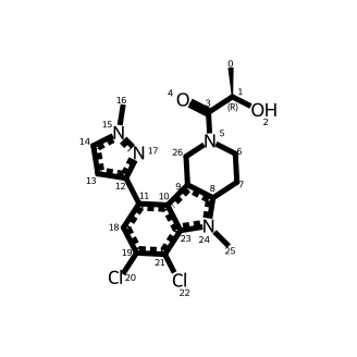 C[C@@H](O)C(=O)N1CCc2c(c3c(-c4ccn(C)n4)cc(Cl)c(Cl)c3n2C)C1